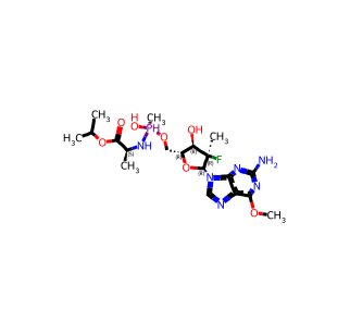 COc1nc(N)nc2c1ncn2[C@@H]1O[C@H](CO[PH](C)(O)N[C@@H](C)C(=O)OC(C)C)[C@@H](O)[C@@]1(C)F